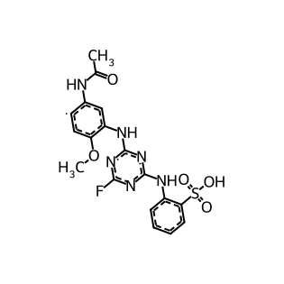 COc1c[c]c(NC(C)=O)cc1Nc1nc(F)nc(Nc2ccccc2S(=O)(=O)O)n1